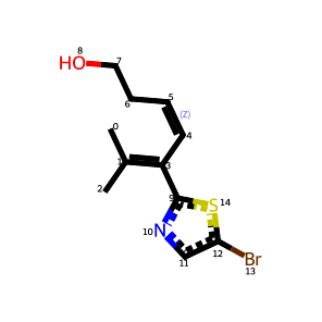 CC(C)=C(/C=C\CCO)c1ncc(Br)s1